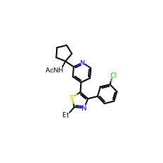 CCc1nc(-c2cccc(Cl)c2)c(-c2ccnc(C3(NC(C)=O)CCCC3)c2)s1